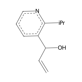 C=CC(O)c1cccnc1C(C)C